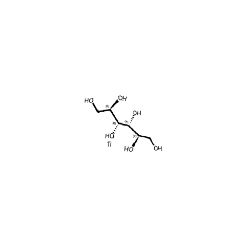 OC[C@@H](O)[C@@H](O)[C@H](O)[C@H](O)CO.[Ti]